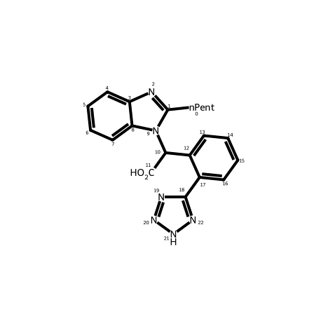 CCCCCc1nc2ccccc2n1C(C(=O)O)c1ccccc1-c1nn[nH]n1